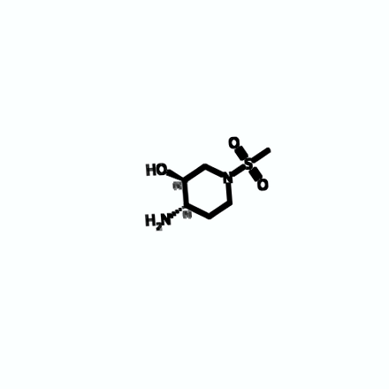 CS(=O)(=O)N1CC[C@H](N)[C@@H](O)C1